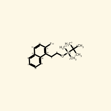 CC(C)(C)[Si](C)(C)OCCc1c(F)ccc2ccccc12